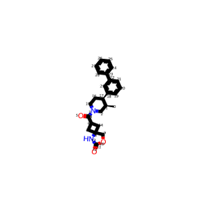 C[C@H]1CN(C(=O)C2CC3(COC(=O)N3)C2)CC[C@H]1c1cccc(-c2ccccc2)c1